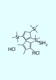 CC1=C(C)C(C)[C]([Ti]([CH3])([CH3])(=[SiH2])[C]2=CC([Si](C)(C)C)=CC2[Si](C)(C)C)=C1C.Cl.Cl